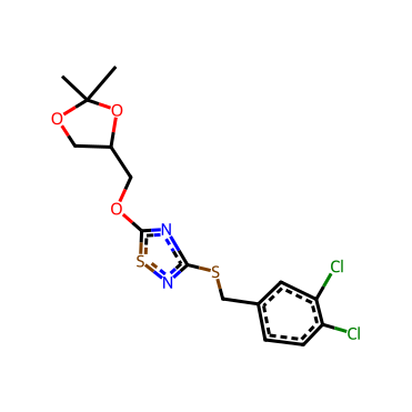 CC1(C)OCC(COc2nc(SCc3ccc(Cl)c(Cl)c3)ns2)O1